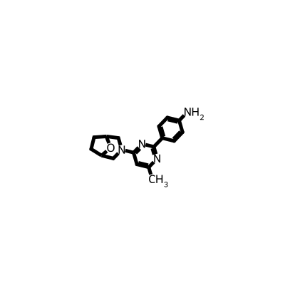 Cc1cc(N2CC3CCC(C2)O3)nc(-c2ccc(N)cc2)n1